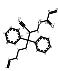 C=CCCCC(c1ccccc1)(c1ccccc1)C(C#N)COC(=O)C=C